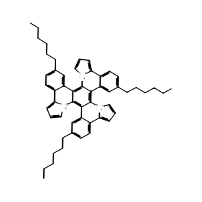 CCCCCCc1ccc2c(c1)c1c3c(c4cc(CCCCCC)ccc4c4cccn43)c3c(c4cc(CCCCCC)ccc4c4cccn43)c1n1cccc21